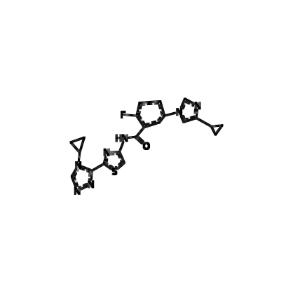 O=C(Nc1csc(-c2nncn2C2CC2)n1)c1cc(-n2cnc(C3CC3)c2)ccc1F